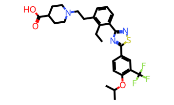 CCc1c(CCN2CCC(C(=O)O)CC2)cccc1-c1nsc(-c2ccc(OC(C)C)c(C(F)(F)F)c2)n1